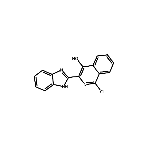 Oc1c(-c2nc3ccccc3[nH]2)nc(Cl)c2ccccc12